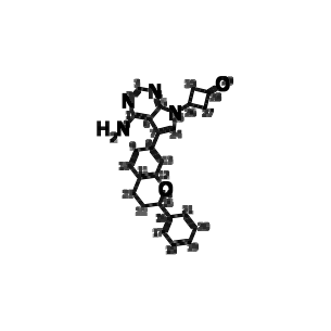 Nc1ncnc2c1c(-c1ccc3c(c1)OC(c1ccccc1)CC3)cn2C1CC(=O)C1